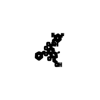 C[C@@H]1CN(CCO)C(=O)c2c(OCc3ccccc3)c(=O)c(C(=O)NCc3ccc(F)cc3F)cn21